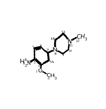 COC1=C(N)C=CC(N2CCN(C)CC2)C1